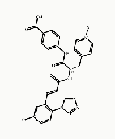 O=C(C=Cc1cc(Cl)ccc1-n1cnnn1)N[C@@H](Cc1cc[n+]([O-])cc1)C(=O)Nc1ccc(C(=O)O)cc1